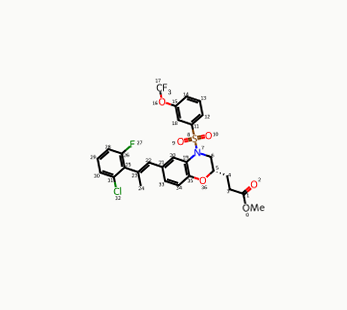 COC(=O)CC[C@H]1CN(S(=O)(=O)c2cccc(OC(F)(F)F)c2)c2cc(/C=C(\C)c3c(F)cccc3Cl)ccc2O1